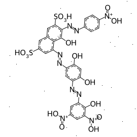 O=[N+](O)c1ccc(/N=N/c2c(S(=O)(=O)O)cc3cc(S(=O)(=O)O)cc(/N=N/c4cc(/N=N/c5cc([N+](=O)O)cc([N+](=O)O)c5O)c(O)cc4O)c3c2O)cc1